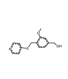 COc1cc(CO)ccc1CSc1ccncc1